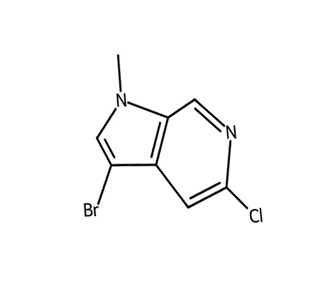 Cn1cc(Br)c2cc(Cl)ncc21